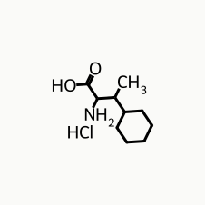 CC(C1CCCCC1)C(N)C(=O)O.Cl